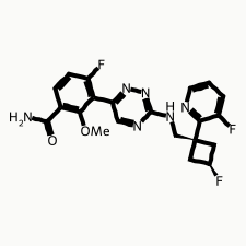 COc1c(C(N)=O)ccc(F)c1-c1cnc(NC[C@]2(c3ncccc3F)C[C@H](F)C2)nn1